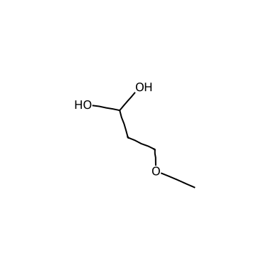 COCCC(O)O